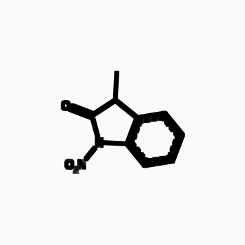 CC1C(=O)N([N+](=O)[O-])c2ccccc21